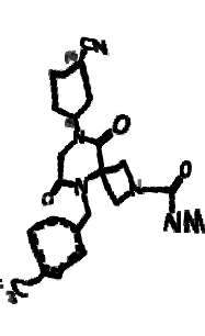 CNC(=O)N1CC2(C1)C(=O)N([C@H]1CC[C@@H](C#N)C1)CC(=O)N2Cc1ccc(C(F)(F)F)cc1